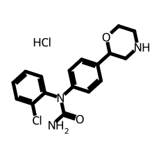 Cl.NC(=O)N(c1ccc(C2CNCCO2)cc1)c1ccccc1Cl